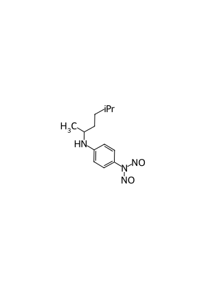 CC(C)CCC(C)Nc1ccc(N(N=O)N=O)cc1